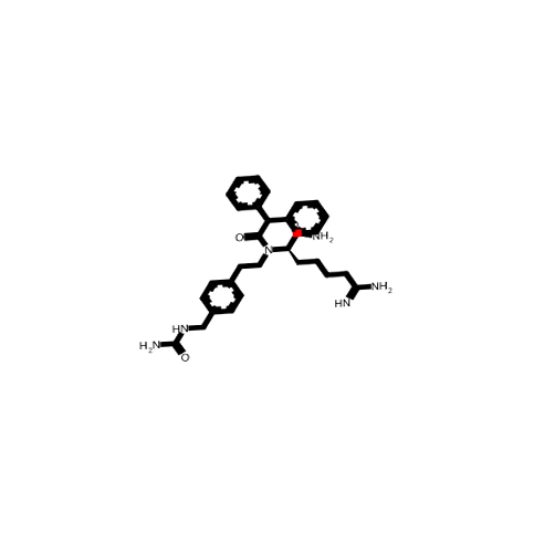 N=C(N)CCCC[C@H](C(N)=O)N(CCc1ccc(CNC(N)=O)cc1)C(=O)C(c1ccccc1)c1ccccc1